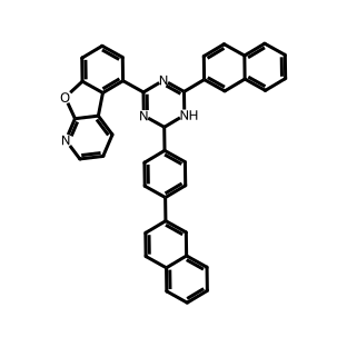 c1ccc2cc(C3=NC(c4cccc5oc6ncccc6c45)=NC(c4ccc(-c5ccc6ccccc6c5)cc4)N3)ccc2c1